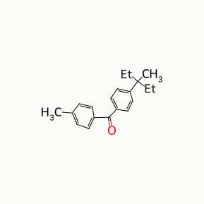 CCC(C)(CC)c1ccc(C(=O)c2ccc(C)cc2)cc1